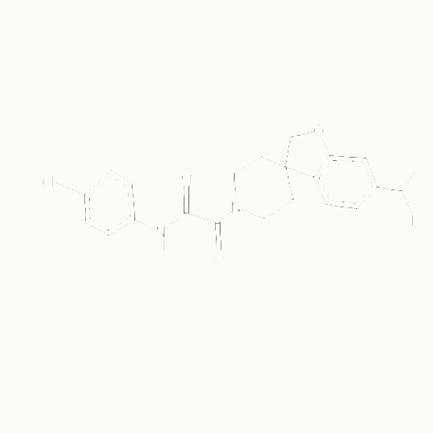 O=C(Nc1ccc(Cl)cc1)C(=O)N1CCC2(CC1)COc1cc(C(F)F)ccc12